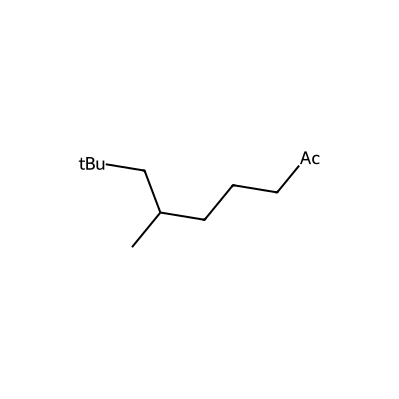 CC(=O)CCCC(C)CC(C)(C)C